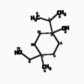 CC(C)C1(O)CCC(C)(CO)CC1